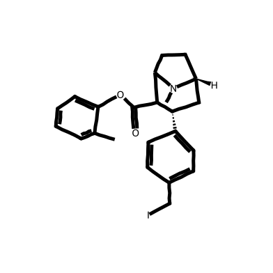 Cc1ccccc1OC(=O)C1C2CC[C@H](C[C@@H]1c1ccc(CI)cc1)N2C